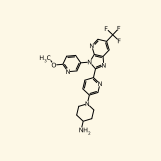 COc1ccc(-n2c(-c3ccc(N4CCC(N)CC4)cn3)nc3cc(C(F)(F)F)cnc32)cn1